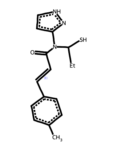 CCC(S)N(C(=O)/C=C/c1ccc(C)cc1)c1cc[nH]n1